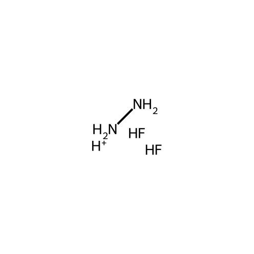 F.F.NN.[H+]